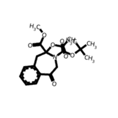 COC(=O)C1(OC(C)=O)Cc2ccccc2C(=O)CN1C(=O)OC(C)(C)C